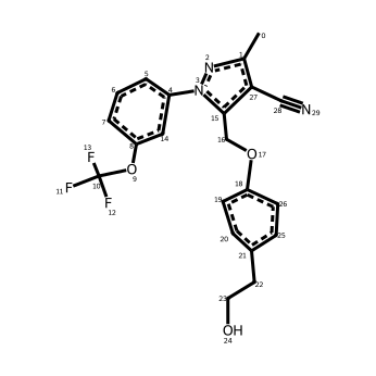 Cc1nn(-c2cccc(OC(F)(F)F)c2)c(COc2ccc(CCO)cc2)c1C#N